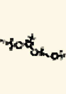 COC(=O)C(=O)N1CCN(c2cc(N3CCCC(C(=O)NCCc4ccc(C(F)(F)F)cc4)C3)nc(C(F)(F)F)n2)CC1